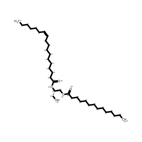 CCCCCC/C=C\CCCCCCCCCC(=O)O[C@@H](CO)COC(=O)CCCCCCCCCCCCC